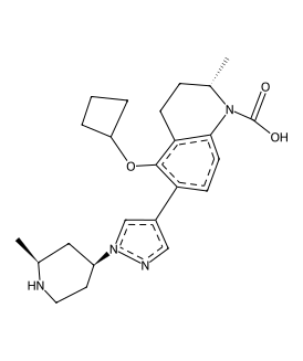 C[C@H]1C[C@@H](n2cc(-c3ccc4c(c3OC3CCC3)CC[C@H](C)N4C(=O)O)cn2)CCN1